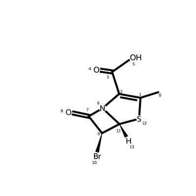 CC1=C(C(=O)O)N2C(=O)[C@H](Br)[C@H]2S1